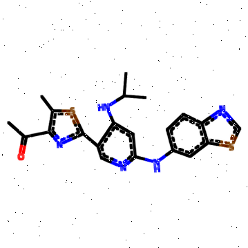 CC(=O)c1nc(-c2cnc(Nc3ccc4ncsc4c3)cc2NC(C)C)sc1C